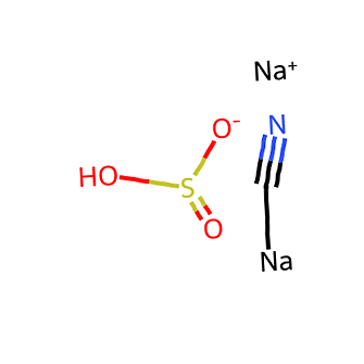 N#[C][Na].O=S([O-])O.[Na+]